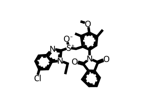 CCn1c([S+]([O-])Cc2c(N3C(=O)c4ccccc4C3=O)cc(C)c(OC)c2C)nc2ccc(Cl)cc21